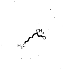 CCCCCCC(C)CC=O